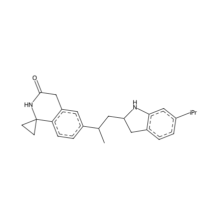 CC(C)c1ccc2c(c1)NC(CC(C)c1ccc3c(c1)CC(=O)NC31CC1)C2